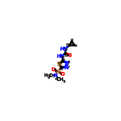 CN(C)S(=O)(=O)c1nnc(NC(=O)NC2CC2)s1